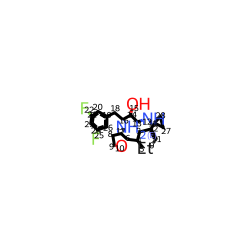 CC/C=C(\CC(C)C1CCCO1)C1(NCC(O)C(N)Cc2cc(F)cc(F)c2)CC1